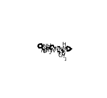 C[C@H]1CN(c2ccc(C(=O)Nc3ccccc3N)cn2)CCN1C(=O)Nc1ccccc1